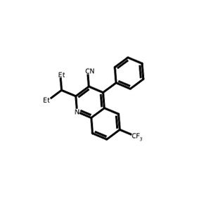 CCC(CC)c1nc2ccc(C(F)(F)F)cc2c(-c2ccccc2)c1C#N